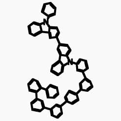 c1ccc(-c2ccccc2-c2cccc(-c3cccc(-c4ccc(-c5cccc(-c6cccc(-n7c8ccccc8c8cc(-c9ccc%10c(c9)c9ccccc9n%10-c9ccccc9)ccc87)c6)c5)cc4)c3)c2)cc1